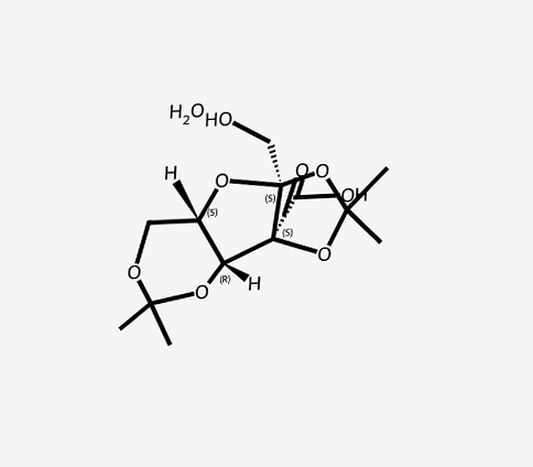 CC1(C)OC[C@@H]2O[C@@]3(CO)OC(C)(C)O[C@@]3(C(=O)O)[C@@H]2O1.O